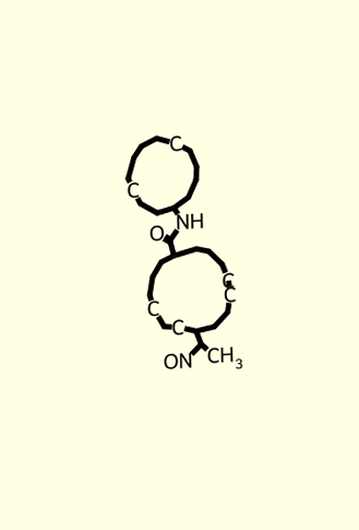 CC(N=O)C1CCCCCCCC(C(=O)NC2CCCCCCCCCCCC2)CCCCCC1